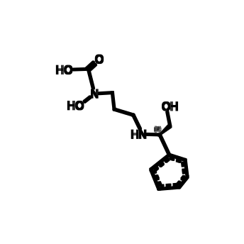 O=C(O)N(O)CCCN[C@@H](CO)c1ccccc1